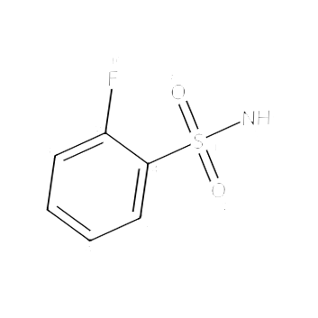 [NH]S(=O)(=O)c1ccccc1F